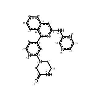 O=C1CN(c2cc(-c3nc(Nc4cnccn4)cc4ccccc34)ccn2)CCN1